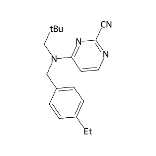 CCc1ccc(CN(CC(C)(C)C)c2ccnc(C#N)n2)cc1